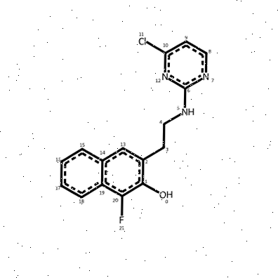 Oc1c(CCNc2nccc(Cl)n2)cc2ccccc2c1F